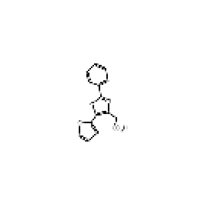 O=C(O)Cc1nc(-c2ccccc2)oc1-c1ccco1